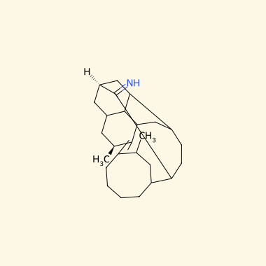 CC1CC2CCCC/C1=C1\C3CC4CCC2C(=N)[C@H]2CC(C[C@@H]1C)C3C4C2